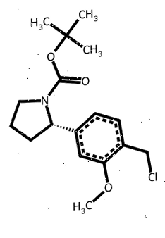 COc1cc([C@@H]2CCCN2C(=O)OC(C)(C)C)ccc1CCl